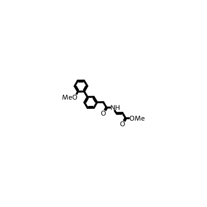 COC(=O)C=CNC(=O)Cc1cccc(-c2ccccc2OC)c1